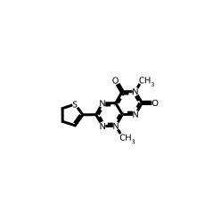 Cn1nc(C2=CCCS2)nc2c(=O)n(C)c(=O)nc1-2